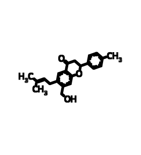 CC(C)=CCc1cc2c(cc1CO)OC(c1ccc(C)cc1)CC2=O